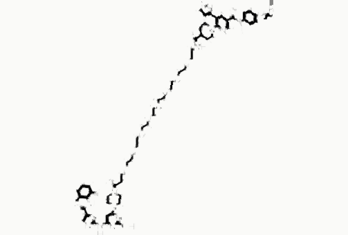 Cc1nc(Nc2ncc(C(=O)Nc3c(C)cccc3Cl)s2)cc(N2CCN(C(=O)CCOCCOCCOCCOCCOCCOCCOCCOCCNC(=O)C3CCN(c4ncc(C(=O)Nc5ccc(OC(F)(F)Cl)cc5)cc4-c4ccn[nH]4)CC3)CC2)n1